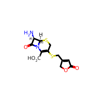 N[C@@H]1C(=O)N2C(C(=O)O)=C(SCC3=CC(=O)OC3)CS[C@H]12